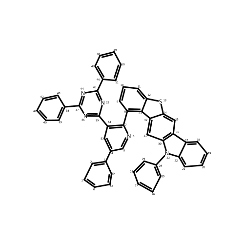 c1ccc(-c2cnc(-c3cccc4sc5cc6c7ccccc7n(-c7ccccc7)c6cc5c34)c(-c3nc(-c4ccccc4)nc(-c4ccccc4)n3)c2)cc1